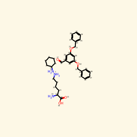 NC1CCCCC1.NCCCCC(N)C(=O)O.O=Cc1cc(OCc2ccccc2)cc(OCc2ccccc2)c1